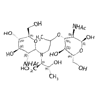 CC(=O)N[C@@H]1[C@@H](OC(C)CN(C2O[C@H](CO)[C@@H](O)[C@H](O)[C@H]2NC(C)=O)[C@H](C(=O)O)[C@@H](C)O)[C@H](O)[C@@H](CO)O[C@@H]1O